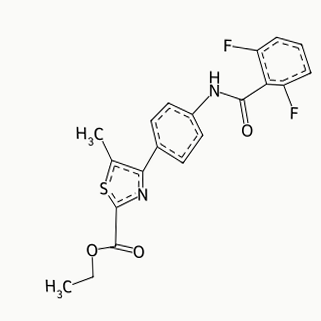 CCOC(=O)c1nc(-c2ccc(NC(=O)c3c(F)cccc3F)cc2)c(C)s1